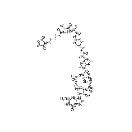 CC(C)[C@H](NC(=O)CCCCCN1C(=O)C=CC1=O)C(=O)N[C@@H](C)C(=O)Nc1ccc(COC(=O)Nc2ncnc3c2ncn3[C@@H]2O[C@@H]3COP(=O)(S)OC4[C@@H](COP(=O)(S)O[C@H]2C3O)O[C@@H](n2cnc3c(=O)[nH]c(N)nc32)[C@H]4O)cc1